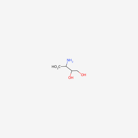 NC(C(=O)O)C(O)CO